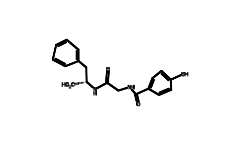 O=C(CNC(=O)c1ccc(O)cc1)N[C@@H](Cc1ccccc1)C(=O)O